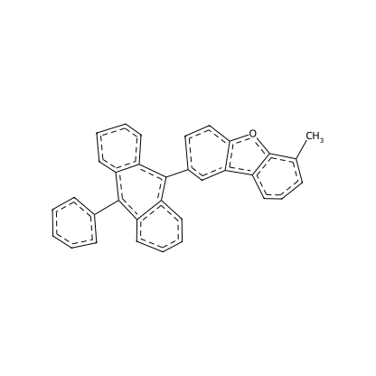 Cc1cccc2c1oc1ccc(-c3c4ccccc4c(-c4ccccc4)c4ccccc34)cc12